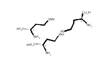 CSCC[C@H](N)C(=O)O.CSCC[C@H](N)C(=O)O.N[C@@H](CCS)C(=O)O